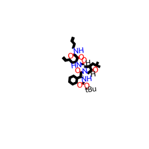 C=CCCNC(=O)C(=O)C(CCC=C)NC(=O)[C@@H]1[C@@H]2CC(C)(C)O[C@@H]2CN1C(=O)[C@@H](NC(=O)OC(C)(C)C)C1CCCCC1